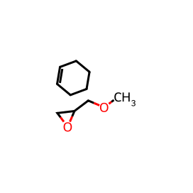 C1=CCCCC1.COCC1CO1